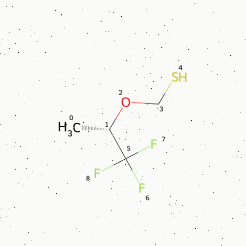 C[C@H](OCS)C(F)(F)F